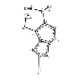 CCN(C=O)c1cnc2cc(Cl)nn2c1CC(F)(F)F